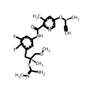 C#C[C@H](C)Oc1cnc(C(=O)Nc2cc(F)c(F)c(C[C@](C)(COC)S/C(N)=N\C)c2)c(C)c1